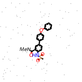 CNC(=O)c1cc(-c2ccc(Oc3ccccc3)cc2)ccc1NS(C)(=O)=O